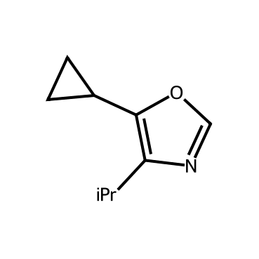 CC(C)c1ncoc1C1CC1